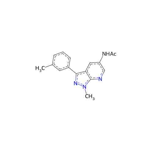 CC(=O)Nc1cnc2c(c1)c(-c1cccc(C)c1)nn2C